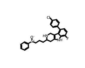 [O-][S+](CCCC1Cc2[nH]c3c(F)ccc(-c4ccc(Cl)cc4)c3c2CN1)c1ccccc1